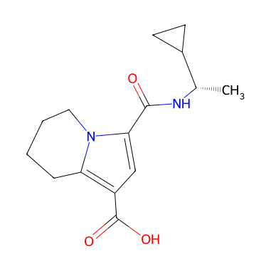 C[C@H](NC(=O)c1cc(C(=O)O)c2n1CCCC2)C1CC1